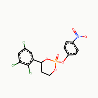 O=[N+]([O-])c1ccc(OP2(=O)OCCC(c3cc(Cl)cc(Cl)c3Cl)O2)cc1